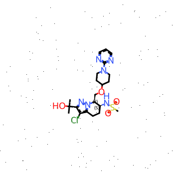 CC(C)(O)c1nn2c(c1Cl)CC[C@H](NS(C)(=O)=O)[C@@H]2COC1CCN(c2ncccn2)CC1